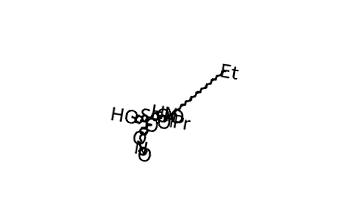 CCC=CCC=CCC=CCC=CCC=CCC=CCCC(=O)N[C@H](C(=O)Oc1ccc(-c2sc3cc(O)ccc3c2C(=O)c2ccc(OCCN3CCOCC3)cc2)cc1)C(C)C